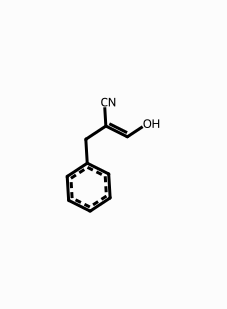 N#CC(=CO)Cc1ccccc1